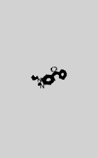 C=CCn1cnc2ccc(C(=O)c3ccccc3)cc21